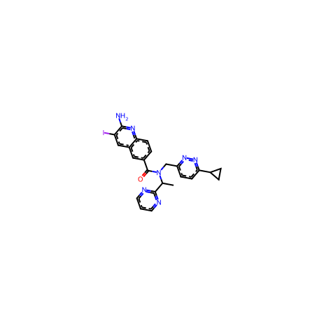 CC(c1ncccn1)N(Cc1ccc(C2CC2)nn1)C(=O)c1ccc2nc(N)c(I)cc2c1